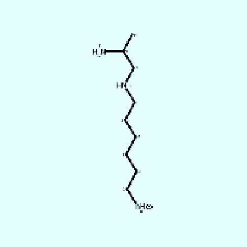 CCCCCCCCCCCCNCC(C)N